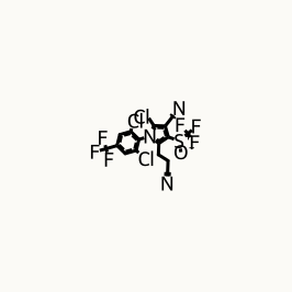 N#CCCc1c([S+]([O-])C(F)(F)F)c(C#N)c(Cl)n1-c1c(Cl)cc(C(F)(F)F)cc1Cl